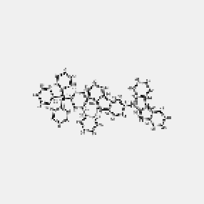 c1ccc([Si](c2ccccc2)(c2ccccc2)c2cccc(-c3ccccc3-n3c4ccccc4c4cc(-n5c6ccccc6n6c7ccccc7nc56)ccc43)c2)cc1